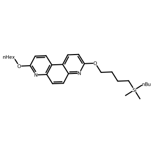 CCCCCCOc1ccc2c(ccc3nc(OCCCC[Si](C)(C)CCCC)ccc32)n1